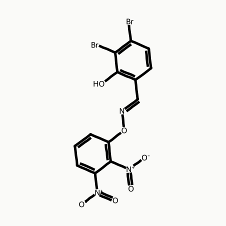 O=[N+]([O-])c1cccc(ON=Cc2ccc(Br)c(Br)c2O)c1[N+](=O)[O-]